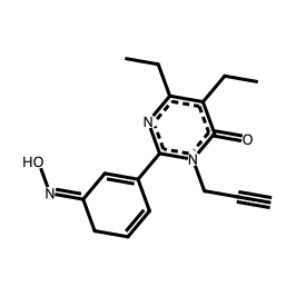 C#CCn1c(C2=CC(=NO)CC=C2)nc(CC)c(CC)c1=O